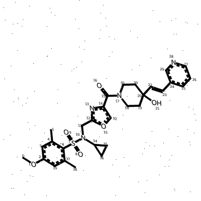 COc1cc(C)c(S(=O)(=O)N(Cc2nc(C(=O)N3CCC(O)(/C=C/c4cccnc4)CC3)co2)C2CC2)c(C)c1